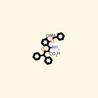 COc1cccc(C(N)C(C(=O)O)C(=O)C(c2ccccc2)c2ccccc2)c1OCc1ccccc1